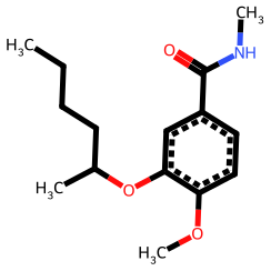 CCCCC(C)Oc1cc(C(=O)NC)ccc1OC